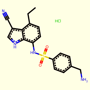 CCc1ccc(NS(=O)(=O)c2ccc(CN)cc2)c2[nH]cc(C#N)c12.Cl